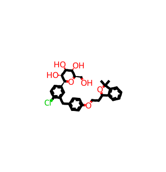 CC1(C)OC(CCOc2ccc(Cc3cc([C@@H]4O[C@H](CO)[C@@H](O)[C@H](O)[C@H]4O)ccc3Cl)cc2)c2ccccc21